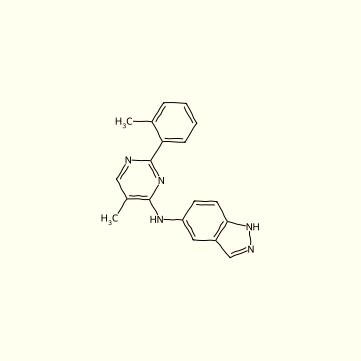 Cc1ccccc1-c1ncc(C)c(Nc2ccc3[nH]ncc3c2)n1